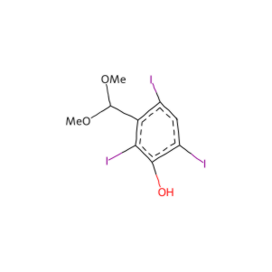 COC(OC)c1c(I)cc(I)c(O)c1I